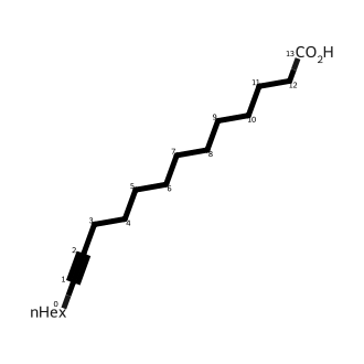 CCCCCCC#CCCCCCCCCCCC(=O)O